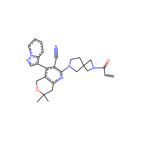 C=CC(=O)N1CC2(CCN(c3nc4c(c(-c5cnn6ccccc56)c3C#N)COC(C)(C)C4)C2)C1